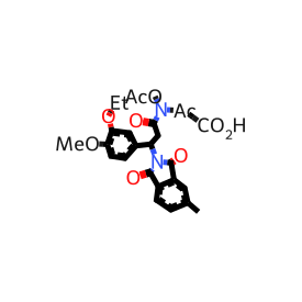 CC(=O)O.CCOc1cc(C(CC(=O)N(OC(C)=O)C(C)=O)N2C(=O)c3ccc(C)cc3C2=O)ccc1OC